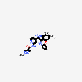 CC1(C)CC(=O)c2c([nH]c(-c3ccnc(NC(=O)c4cnn(C(C)(C)C)c4)c3)c2Nc2ccccc2)C1